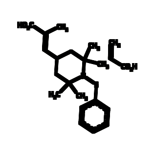 C=CC(=O)O.CC(=CC1CC(C)(C)N(Sc2ccccc2)C(C)(C)C1)C(=O)O